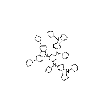 c1ccc(-c2ccc3c(c2)c2cc(-c4ccccc4)ccc2n3-c2cc(N(c3ccccc3)c3ccc4c(c3)c3ccccc3n4-c3ccccc3)cc(N(c3ccccc3)c3ccc4c(c3)c3ccccc3n4-c3ccccc3)c2)cc1